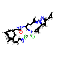 C/C(=C\C=C(/C=NCl)NC(=O)Cc1ccc(C)c(/C=C\C=NCl)c1)n1nc(C2CC2)cc1C1CC1